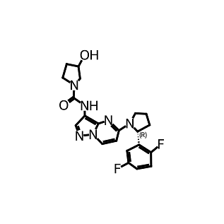 O=C(Nc1cnn2ccc(N3CCC[C@@H]3c3cc(F)ccc3F)nc12)N1CCC(O)C1